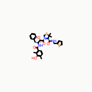 Cc1ccc(C(=O)N[C@@H](Cc2ccccc2)[C@H](O)C(=O)N2CSC(C)(C)[C@H]2C(=O)NCc2cccs2)c(C)c1O